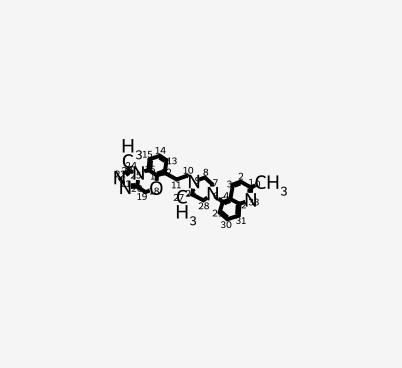 Cc1ccc2c(N3CCN(CCc4cccc5c4OCc4nnc(C)n4-5)[C@@H](C)C3)cccc2n1